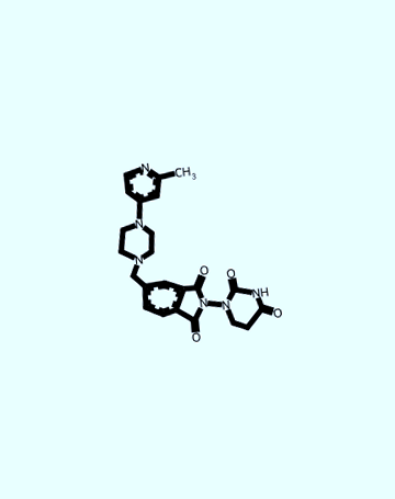 Cc1cc(N2CCN(Cc3ccc4c(c3)C(=O)N(N3CCC(=O)NC3=O)C4=O)CC2)ccn1